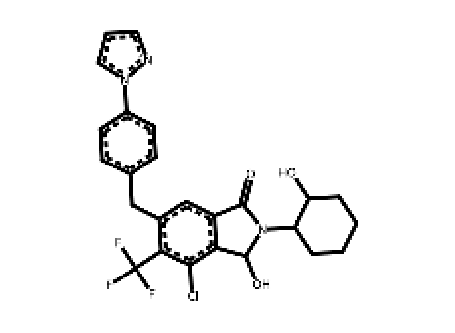 O=C1c2cc(Cc3ccc(-n4cccn4)cc3)c(C(F)(F)F)c(Cl)c2C(O)N1C1CCCCC1O